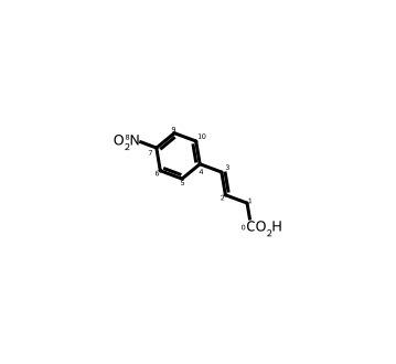 O=C(O)CC=Cc1ccc([N+](=O)[O-])cc1